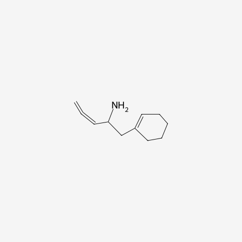 C=C=CC(N)CC1=CCCCC1